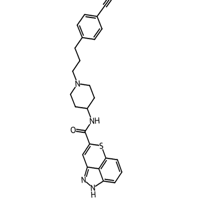 N#Cc1ccc(CCCN2CCC(NC(=O)C3=Cc4n[nH]c5cccc(c45)S3)CC2)cc1